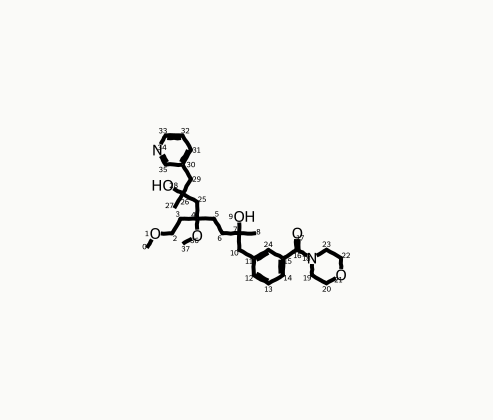 COCCC(CCC(C)(O)Cc1cccc(C(=O)N2CCOCC2)c1)(CC(C)(O)Cc1cccnc1)OC